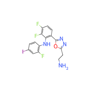 NCCc1nnc(-c2ccc(F)c(F)c2Nc2ccc(I)cc2F)o1